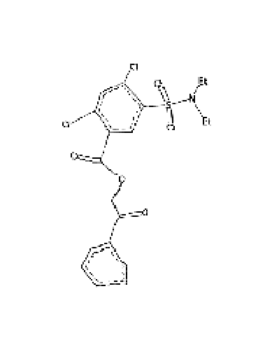 CCN(CC)S(=O)(=O)c1cc(C(=O)OCC(=O)c2ccccc2)c(Cl)cc1Cl